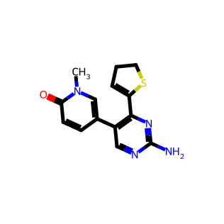 Cn1cc(-c2cnc(N)nc2C2=CCCS2)ccc1=O